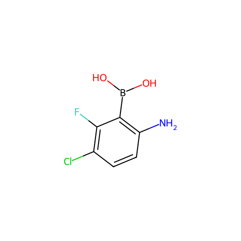 Nc1ccc(Cl)c(F)c1B(O)O